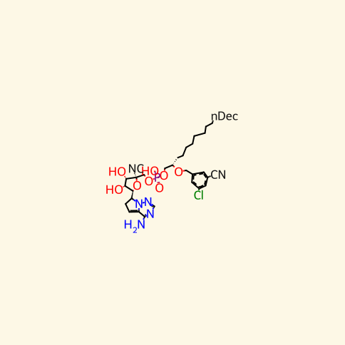 CCCCCCCCCCCCCCCCCC[C@@H](COP(=O)(O)OC[C@@]1(C#N)O[C@@H](C2CC=C3C(N)=NC=NN32)[C@H](O)[C@@H]1O)OCc1cc(Cl)cc(C#N)c1